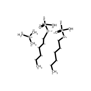 CCCCCCOP(=O)(O)F.CCCCCCOP(=O)(O)F.CN(C)P